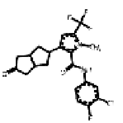 Cn1c(C(F)(F)F)cc(C2CC3CC(=O)CC3C2)c1C(=O)Nc1ccc(F)c(Cl)c1